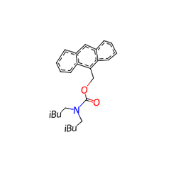 CCC(C)CN(CC(C)CC)C(=O)OCc1c2ccccc2cc2ccccc12